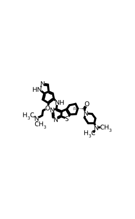 CN(C)CCOc1cc2[nH]ncc2cc1Nc1ncnc2sc3c(c12)CC[C@H](C(=O)N1CCC(N(C)C)CC1)C3